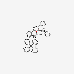 c1ccc(-c2ccc(-c3ccccc3N(c3ccc4c(c3)C(c3ccccc3)(c3ccccc3)c3ccccc3-4)c3ccc4sc5ccccc5c4c3)cc2)cc1